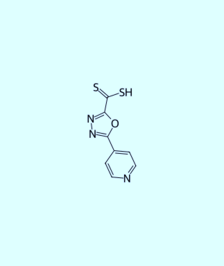 S=C(S)c1nnc(-c2ccncc2)o1